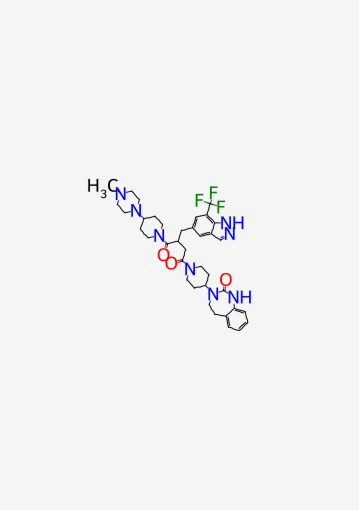 CN1CCN(C2CCN(C(=O)C(CC(=O)N3CCC(N4CCc5ccccc5NC4=O)CC3)Cc3cc(C(F)(F)F)c4[nH]ncc4c3)CC2)CC1